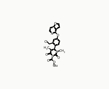 Cc1c(-c2ccc(Oc3nccc4occc34)cc2CCl)n(C)c(=O)n(C(=O)OC(C)(C)C)c1=O